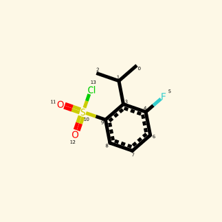 CC(C)c1c(F)cccc1S(=O)(=O)Cl